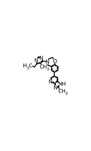 CCc1ncnc(N2CCOc3ccc(-c4cnc5nc(C)[nH]c5c4)cc3C2)c1C